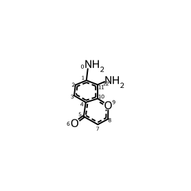 Nc1ccc2c(=O)ccoc2c1N